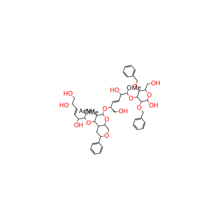 COC(OC1C2CC(c3ccccc3)OCC2OC(O[C@@H](/C=C/C(O)C(OC)OC2C(OCc3ccccc3)C(O)OC(CO)C2OCc2ccccc2)CO)C1NC(C)=O)C(O)/C=C/[C@H](O)CO